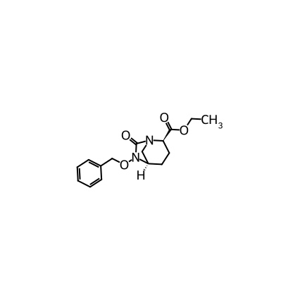 CCOC(=O)[C@H]1CC[C@@H]2CN1C(=O)N2OCc1ccccc1